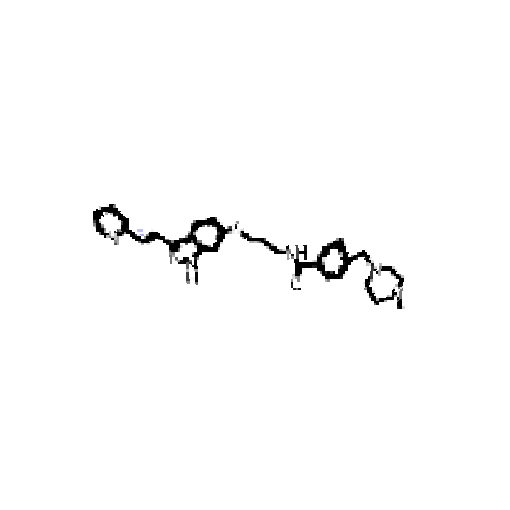 CN1CCN(Cc2ccc(C(=O)NCCCSc3ccc4c(/C=C/c5ccccn5)n[nH]c4c3)cc2)CC1